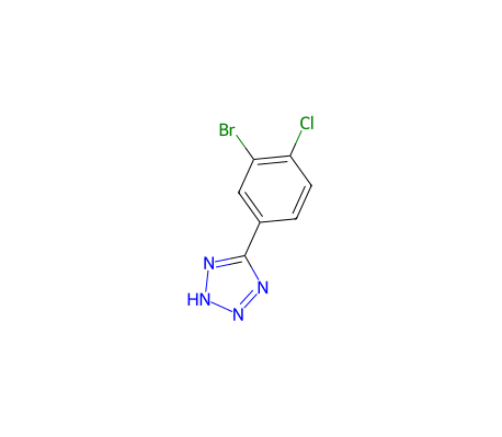 Clc1ccc(-c2nn[nH]n2)cc1Br